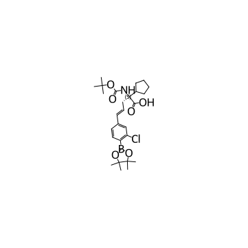 CC(C)(C)OC(=O)N[C@](CC=Cc1ccc(B2OC(C)(C)C(C)(C)O2)c(Cl)c1)(C(=O)O)C1CCCC1